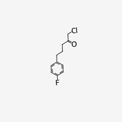 O=C(CCl)CCCc1ccc(F)cc1